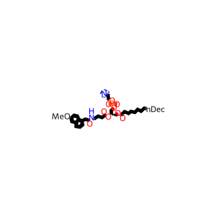 CCCCCCCCCCCCCCCCCC(=O)OC[C@H](COP(=O)([O-])OCC[N+](C)(C)C)OC(=O)CCCNC(=O)Cc1cccc2cc(OC)ccc12